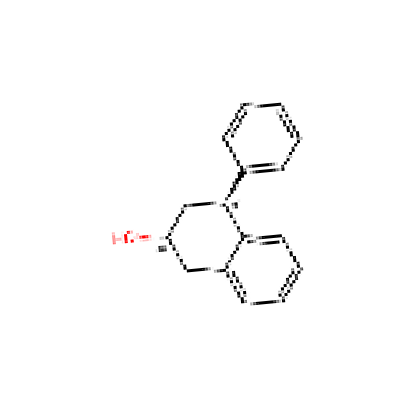 O[C@H]1Cc2ccccc2[C@H](c2ccccc2)C1